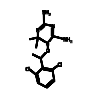 CC(ON1C(N)=NC(N)=NC1(C)C)c1c(Cl)cccc1Cl